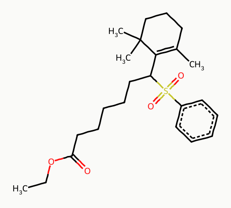 CCOC(=O)CCCCCC(C1=C(C)CCCC1(C)C)S(=O)(=O)c1ccccc1